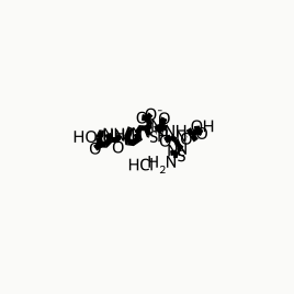 CC(C)(ON=C(C(=O)N[C@@H]1C(=O)N2C(C(=O)[O-])=C(C[n+]3cccc(NC(=O)c4cc(=O)c(O)c[nH]4)c3)CS[C@@H]12)c1nsc(N)n1)C(=O)O.Cl